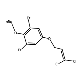 [CH2]CCCOc1c(CC)cc(OCC=C(Cl)Cl)cc1CC